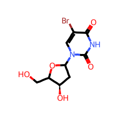 O=c1[nH]c(=O)n(C2C[C@@H](O)C(CO)O2)cc1Br